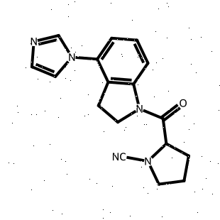 N#CN1CCCC1C(=O)N1CCc2c1cccc2-n1ccnc1